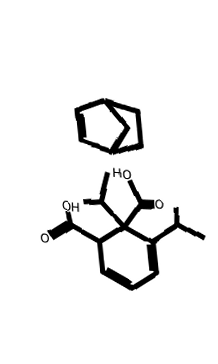 C1=CC2CCC1C2.CC(C)C1=CC=CC(C(=O)O)C1(C(=O)O)C(C)C